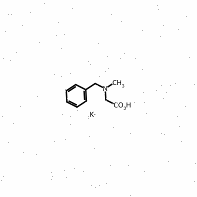 CN(CC(=O)O)Cc1ccccc1.[K]